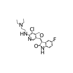 CCN(CC)CCNc1ncc2c(c1Cl)CO/C2=C1/C(=O)Nc2ccc(F)cc21